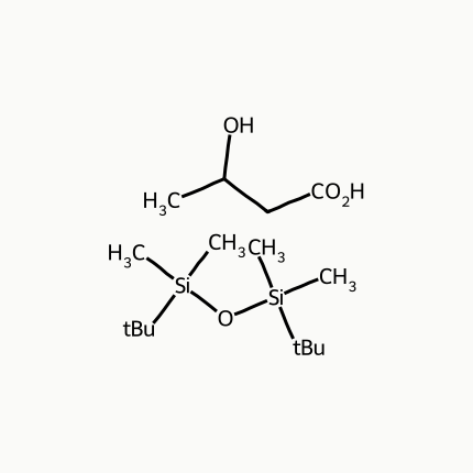 CC(C)(C)[Si](C)(C)O[Si](C)(C)C(C)(C)C.CC(O)CC(=O)O